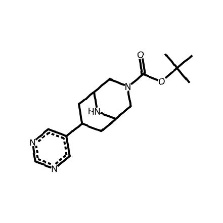 CC(C)(C)OC(=O)N1CC2CC(c3cncnc3)CC(C1)N2